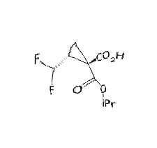 CC(C)OC(=O)[C@@]1(C(=O)O)C[C@H]1C(F)F